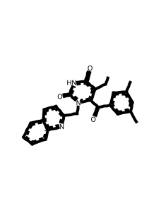 CCc1c(C(=O)c2cc(C)cc(C)c2)n(Cc2ccc3ccccc3n2)c(=O)[nH]c1=O